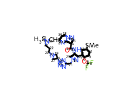 CSc1ccc(OC(F)F)c(-c2nn(Cc3nnn(C4CN(CCCN(C)C)C4)n3)cc2NC(=O)c2cnn3cccnc23)c1